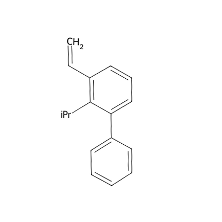 C=Cc1cccc(-c2ccccc2)c1C(C)C